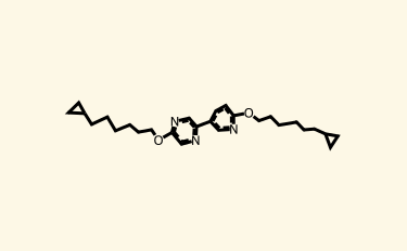 c1cc(OCCCCCCC2CC2)ncc1-c1cnc(OCCCCCCC2CC2)cn1